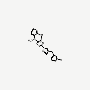 CN1C(=O)[C@@H](NC(=O)n2cc(Cc3cccc(Cl)c3)cn2)CNc2ccccc21